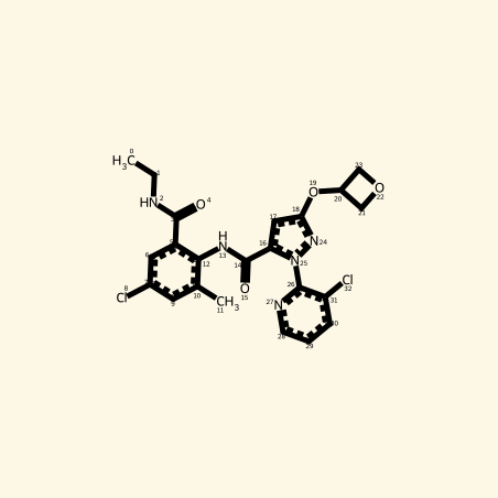 CCNC(=O)c1cc(Cl)cc(C)c1NC(=O)c1cc(OC2COC2)nn1-c1ncccc1Cl